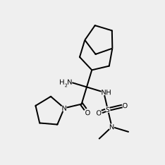 CN(C)S(=O)(=O)NC(N)(C(=O)N1CCCC1)C1CC2CCC(C2)C1